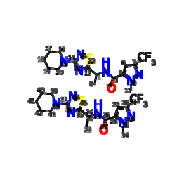 CC(NC(=O)c1cc(C(F)(F)F)nn1C)c1nc(N2CCCCC2)ns1.C[C@H](NC(=O)c1cc(C(F)(F)F)nn1C)c1nc(N2CCCCC2)ns1